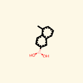 Cc1cccc2cc(B(O)O)ccc12